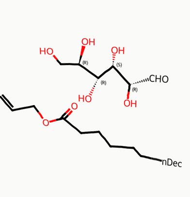 C=CCOC(=O)CCCCCCCCCCCCCCC.O=C[C@H](O)[C@@H](O)[C@H](O)[C@H](O)CO